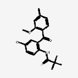 COc1cc(C)ccc1C(=O)c1cc(Cl)ccc1NC(=O)C(C)(C)C